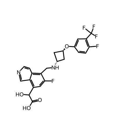 O=C(O)C(O)c1cc(F)c(CN[C@H]2C[C@H](Oc3ccc(F)c(C(F)(F)F)c3)C2)c2ccncc12